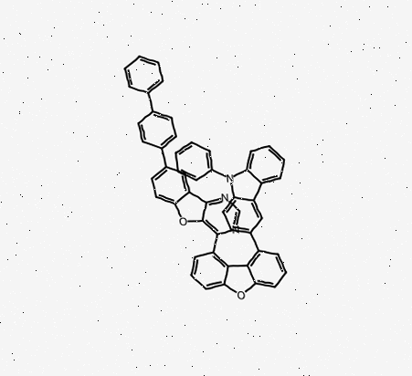 c1ccc(-c2ccc(-c3ccc4oc5c(-c6cccc7oc8cccc(-c9ccc%10c(c9)c9ccccc9n%10-c9ccccc9)c8c67)ncnc5c4c3)cc2)cc1